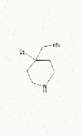 CCC1(CC(C)(C)C)CCNCC1